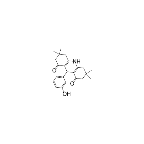 CC1(C)CC(=O)C2=C(C1)NC1=C(C(=O)CC(C)(C)C1)C2c1cccc(O)c1